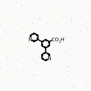 O=C(O)c1cc(-c2cccnc2)cc(-c2cccnc2)c1